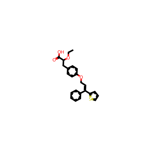 CCOC(Cc1ccc(OC/C=C(\c2ccccc2)c2cccs2)cc1)C(=O)O